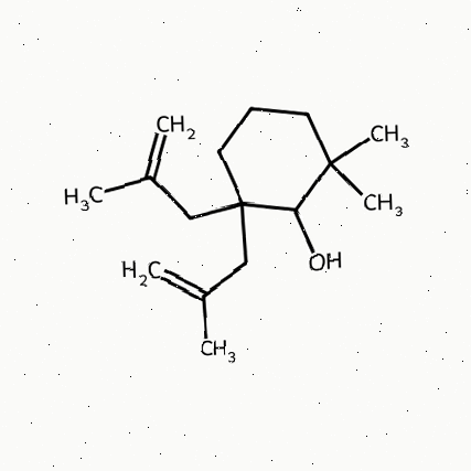 C=C(C)CC1(CC(=C)C)CCCC(C)(C)C1O